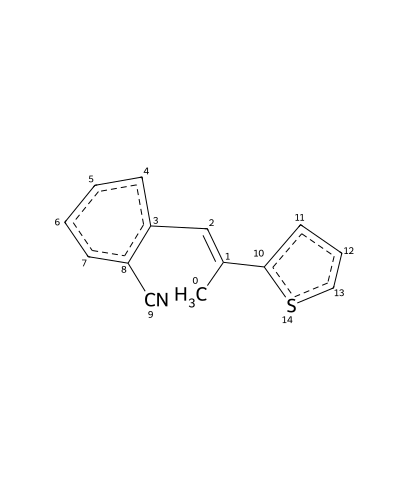 C/C(=C\c1ccccc1C#N)c1cccs1